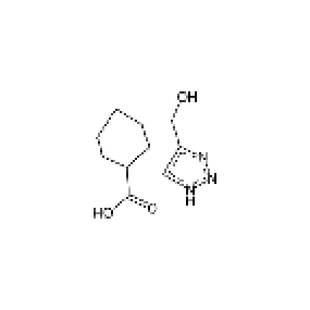 O=C(O)C1CCCCC1.OCc1c[nH]nn1